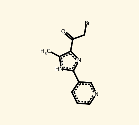 Cc1[nH]c(-c2cccnc2)nc1C(=O)CBr